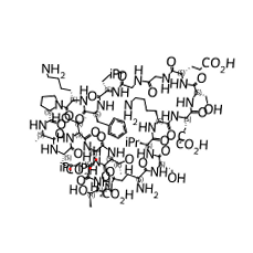 CC(C)C[C@H](NC(=O)CNC(=O)CNC(=O)[C@H](CCC(=O)O)NC(=O)[C@H](CO)NC(=O)[C@H](CCC(=O)O)NC(=O)[C@H](CCCCN)NC(=O)[C@@H](NC(=O)[C@H](CO)NC(=O)[C@@H](N)CCC(N)=O)C(C)C)C(=O)N[C@@H](Cc1ccccc1)C(=O)N[C@@H](CCCCN)C(=O)N1CCC[C@H]1C(=O)N[C@@H](C)C(=O)N[C@@H](CC(=O)O)C(=O)N[C@H](C(=O)N[C@@H](CC(C)C)C(=O)N[C@H](C(=O)N[C@@H](CC(C)C)C(=O)N[C@H](C(=O)O)[C@@H](C)O)[C@@H](C)O)[C@@H](C)O